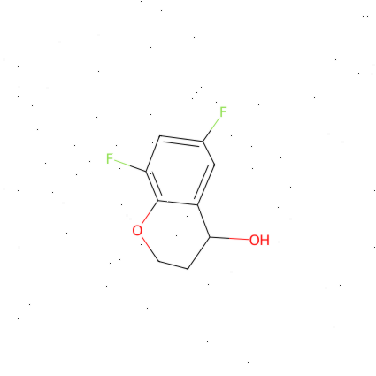 OC1CCOc2c(F)cc(F)cc21